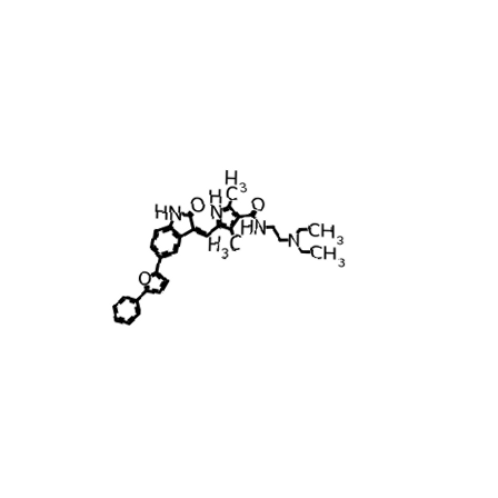 CCN(CC)CCNC(=O)c1c(C)[nH]c(C=C2C(=O)Nc3ccc(-c4ccc(-c5ccccc5)o4)cc32)c1C